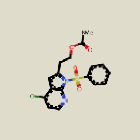 CNC(=O)OCCc1cc2c(Cl)ccnc2n1S(=O)(=O)c1ccccc1